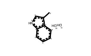 Cc1c[nH]c2ccccc12.Cl.Cl